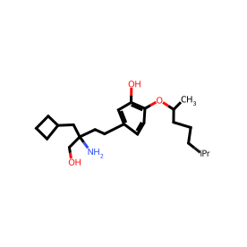 CC(C)CCCC(C)Oc1ccc(CCC(N)(CO)CC2CCC2)cc1O